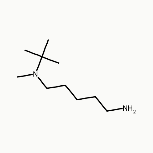 CN(CCCCCN)C(C)(C)C